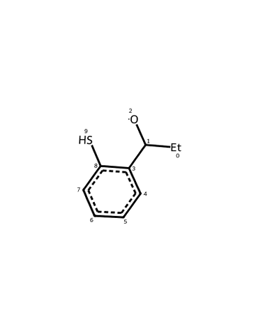 CCC([O])c1ccccc1S